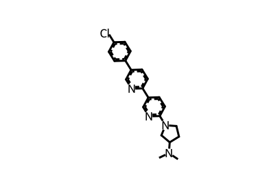 CN(C)C1CCN(c2ccc(-c3ccc(-c4ccc(Cl)cc4)cn3)cn2)C1